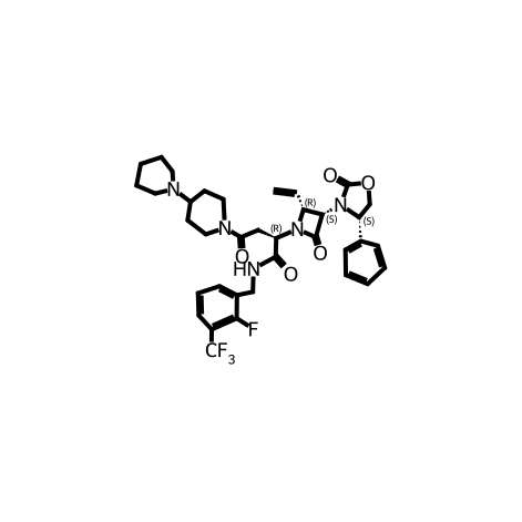 C=C[C@@H]1[C@H](N2C(=O)OC[C@@H]2c2ccccc2)C(=O)N1[C@H](CC(=O)N1CCC(N2CCCCC2)CC1)C(=O)NCc1cccc(C(F)(F)F)c1F